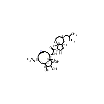 CC(C)C[C@@H]1CCO[C@@H]2[C@H](CN[C@@H]2C(=O)N[C@@H]2C/C=C\C[C@@H](CN)SC3O[C@H]2C(O)C(O)[C@H]3O)C1